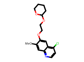 COc1cc2nccc(Cl)c2cc1OCCOC1CCCCO1